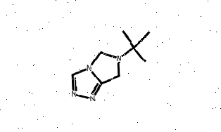 CC(C)(C)N1Cc2nncn2C1